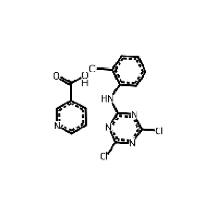 Clc1nc(Cl)nc(Nc2ccccc2Cl)n1.O=C(O)c1cccnc1